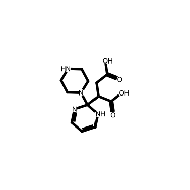 O=C(O)CC(C(=O)O)C1(N2CCNCC2)N=CC=CN1